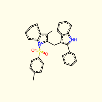 Cc1ccc(S(=O)(=O)n2c(Cc3c(-c4ccccc4)[nH]c4ccccc34)c(C)c3ccccc32)cc1